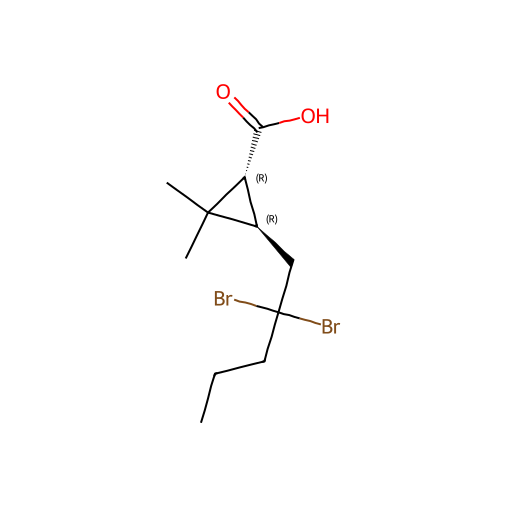 CCCC(Br)(Br)C[C@@H]1[C@@H](C(=O)O)C1(C)C